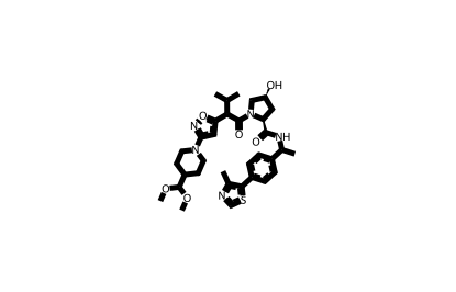 COC(OC)C1CCN(c2cc(C(C(=O)N3C[C@H](O)C[C@H]3C(=O)NC(C)c3ccc(-c4scnc4C)cc3)C(C)C)on2)CC1